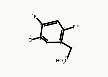 O=C(O)Cc1cc(Cl)c(F)cc1F